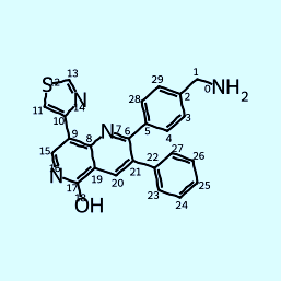 NCc1ccc(-c2nc3c(-c4cscn4)cnc(O)c3cc2-c2ccccc2)cc1